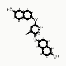 Cc1cc(Oc2ccc3cc(O)ccc3c2)nnc1Oc1ccc2cc(O)ccc2c1